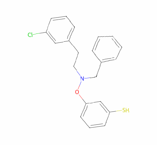 Sc1cccc(ON(CCc2cccc(Cl)c2)Cc2ccccc2)c1